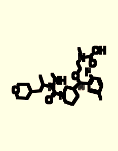 CNN(C(=O)N1CCCC([C@@H](OCCN(C)C(=O)O)c2cc(C)ccc2F)C1)C(C)CC1CCOCC1